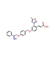 Cc1cc(-c2cc(OCc3ccc(OCC(=N)c4ccccc4)cc3)ccc2/C=C/C(=O)O)no1